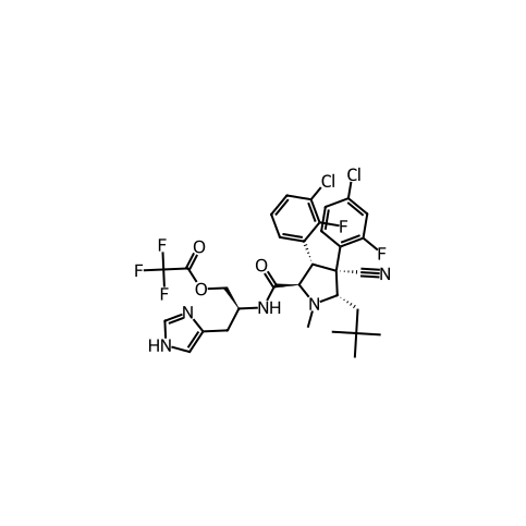 CN1[C@@H](CC(C)(C)C)[C@](C#N)(c2ccc(Cl)cc2F)[C@@H](c2cccc(Cl)c2F)[C@@H]1C(=O)N[C@H](COC(=O)C(F)(F)F)Cc1c[nH]cn1